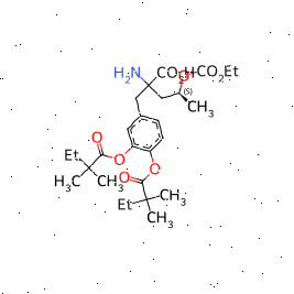 CCOC(=O)O[C@@H](C)CC(N)(Cc1ccc(OC(=O)C(C)(C)CC)c(OC(=O)C(C)(C)CC)c1)C(=O)O